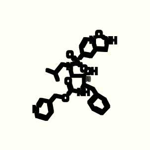 CC(C)CN(C[C@H](O)C(Cc1ccccc1)NC(=O)OCc1cccnc1)S(=O)(=O)C1=CC2=CNON2C=C1